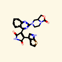 O=C1NC(=O)C(c2c[nH]c3sccc23)=C1c1nc(N2CCN3C(=O)OCC3C2)nc2ccccc12